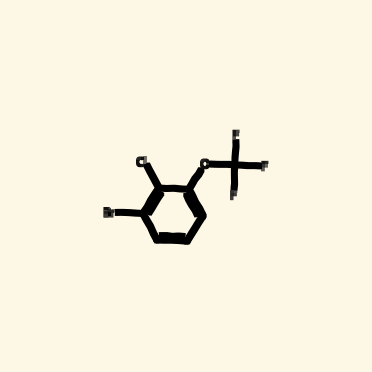 FC(F)(F)Oc1cccc(Br)c1Cl